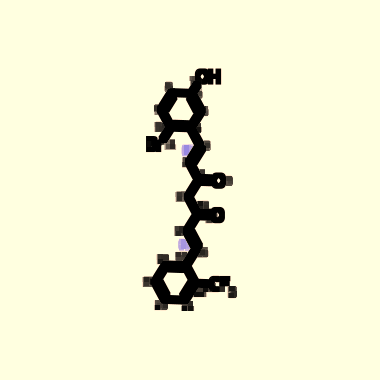 O=C(/C=C/c1cc(O)ccc1Br)CC(=O)/C=C/c1ccccc1C(F)(F)F